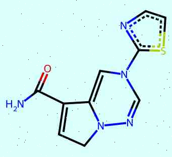 NC(=O)C1=CCN2N=CN(c3nccs3)C=C12